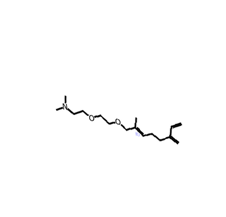 C=CC(=C)CC/C=C(\C)COCCOCCN(C)C